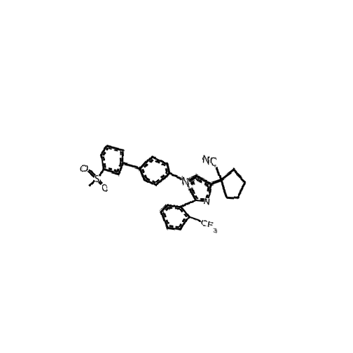 CS(=O)(=O)c1cccc(-c2ccc(-n3cc(C4(C#N)CCCC4)nc3-c3ccccc3C(F)(F)F)cc2)c1